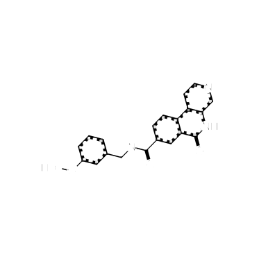 COc1cccc(CNC(=O)c2ccc3c(c2)c(=O)[nH]c2cnccc23)c1